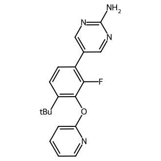 CC(C)(C)c1ccc(-c2cnc(N)nc2)c(F)c1Oc1ccccn1